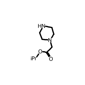 CC(C)OC(=O)CN1CCNCC1